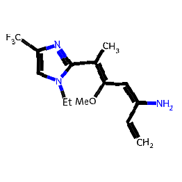 C=C/C(N)=C\C(OC)=C(/C)c1nc(C(F)(F)F)cn1CC